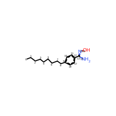 CCCCCCCCCc1ccc(/C(N)=N/O)cc1